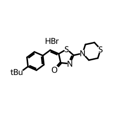 Br.CC(C)(C)c1ccc(C=C2SC(N3CCSCC3)=NC2=O)cc1